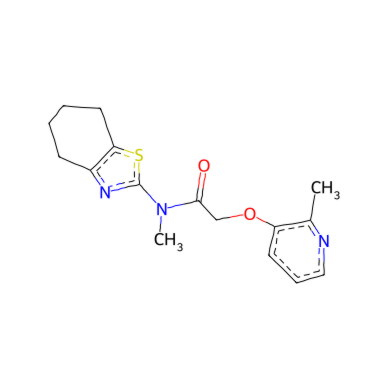 Cc1ncccc1OCC(=O)N(C)c1nc2c(s1)CCCC2